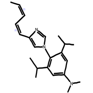 C/C=C\C=C/c1cn(-c2c(C(C)C)cc(N(C)C)cc2C(C)C)cn1